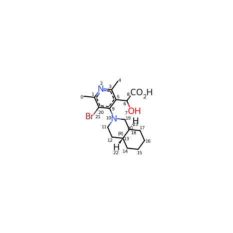 Cc1nc(C)c(C(O)C(=O)O)c(N2CC[C@H]3CCCC[C@@H]3C2)c1Br